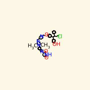 CC1CN(CC2CCN(CCOc3ccc(C(=C(CCCl)c4ccccc4)c4ccc(O)cc4)cc3)CC2)CC(C)N1c1ccc2c(c1)CN(C1CCC(=O)NC1=O)C2